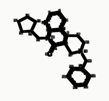 O=c1c2c(c3cccnc3n1CC1CCCC1)CCN(Cc1ccccc1)C2